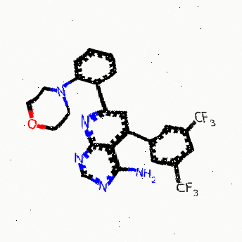 Nc1ncnc2nc(-c3ccccc3N3CCOCC3)cc(-c3cc(C(F)(F)F)cc(C(F)(F)F)c3)c12